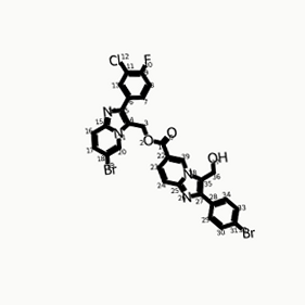 O=C(OCc1c(-c2ccc(F)c(Cl)c2)nc2ccc(Br)cn12)c1ccc2nc(-c3ccc(Br)cc3)c(CO)n2c1